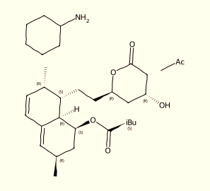 CC(C)=O.CC[C@H](C)C(=O)O[C@H]1C[C@@H](C)C=C2C=C[C@H](C)[C@H](CC[C@@H]3C[C@@H](O)CC(=O)O3)[C@H]21.NC1CCCCC1